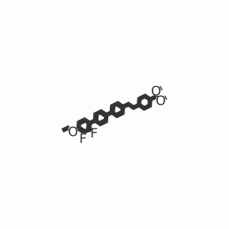 CCOc1ccc(-c2ccc(-c3ccc(CCC4CCC(C(OC)OC)CC4)cc3)cc2)c(F)c1F